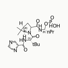 CCC[C@H](NC(=O)C1C[C@H]2[C@@H](N1C(=O)[C@@H](NC(=O)c1cnccn1)C(C)(C)C)C2(C)C)O[PH](=O)O